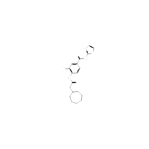 COc1cc(C(=O)Nc2nccs2)ccc1NC(=O)CC1CCCCCC1